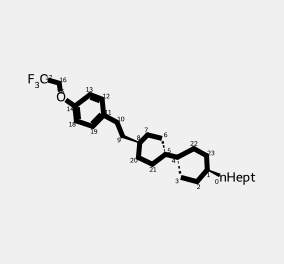 CCCCCCC[C@H]1CC[C@H]([C@H]2CC[C@H](CCc3ccc(OCC(F)(F)F)cc3)CC2)CC1